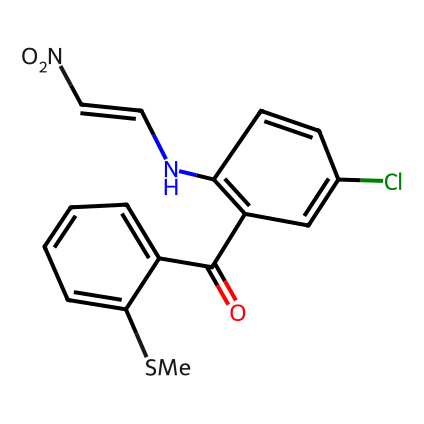 CSc1ccccc1C(=O)c1cc(Cl)ccc1N/C=C/[N+](=O)[O-]